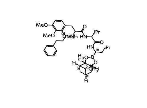 COc1ccc(CC(NC(=O)CCc2ccccc2)C(=O)NC(C(=O)N[C@@H](CC(C)C)B2O[C@@H]3C[C@@H]4C[C@@H](C4(C)C)[C@]3(C)O2)C(C)C)c(OC)c1OC